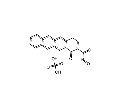 O=NC(=O)C1=CCc2cc3cc4ccccc4cc3cc2C1=O.O=S(=O)(O)O